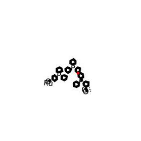 [C]=O.[C]=O.[C]=O.[Ru].c1ccc(P(c2ccccc2)c2ccccc2)cc1.c1ccc(P(c2ccccc2)c2ccccc2)cc1.c1ccc(P(c2ccccc2)c2ccccc2)cc1